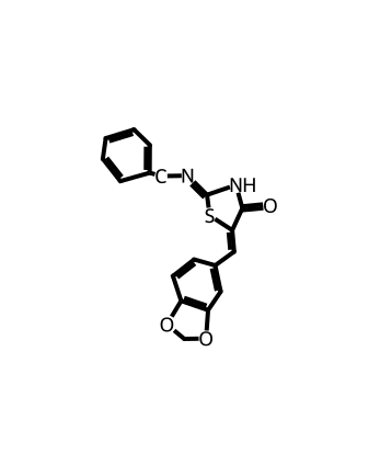 O=C1N/C(=N/Cc2ccccc2)S/C1=C\c1ccc2c(c1)OCO2